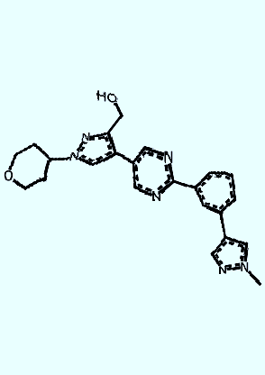 Cn1cc(-c2cccc(-c3ncc(-c4cn(C5CCOCC5)nc4CO)cn3)c2)cn1